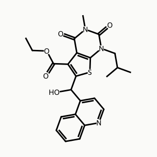 CCOC(=O)c1c(C(O)c2ccnc3ccccc23)sc2c1c(=O)n(C)c(=O)n2CC(C)C